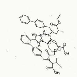 CCCCC(=O)N(Cc1ccc(-c2ccccc2C2NN(NN(C(=O)CCC(=O)O)C(Cc3ccc(-c4ccccc4)cc3)C[C@@H](C)C(=O)OCC)N(C3CCCCCC3)N2)cc1)C(C(=O)O)C(C)C